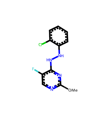 COc1ncc(F)c(NNc2ccccc2Cl)n1